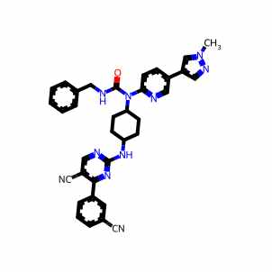 Cn1cc(-c2ccc(N(C(=O)NCc3ccccc3)C3CCC(Nc4ncc(C#N)c(-c5cccc(C#N)c5)n4)CC3)nc2)cn1